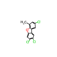 Cc1cc(Cl)cc2c1oc1cc(Cl)c(Cl)cc12